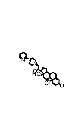 CC12C=CC(=O)C=C1CCC1C2[C@@H](O)CC2(C)C1CC[C@]2(O)C(=O)CN1CCN(c2ccccn2)CC1